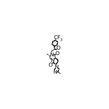 Cc1cn(-c2ccc3n(c2=O)C[C@@H](C)N(Cc2coc4cc(C(F)(F)F)ccc24)C3=O)cn1